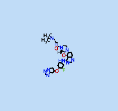 CN(C)C/C=C/C(=O)N1CCN2C[C@@H]1COc1c2ccc2ncnc(Nc3ccc(Oc4ccn5ncnc5c4)c(F)c3)c12